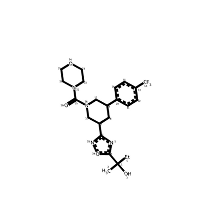 CCC(C)(O)c1nc(C2CC(c3ccc(C(F)(F)F)cc3)CN(C(=O)N3CCOCC3)C2)no1